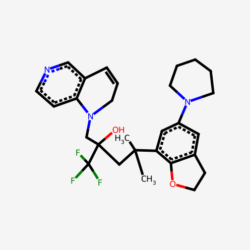 CC(C)(CC(O)(CN1CC=Cc2cnccc21)C(F)(F)F)c1cc(N2CCCCC2)cc2c1OCC2